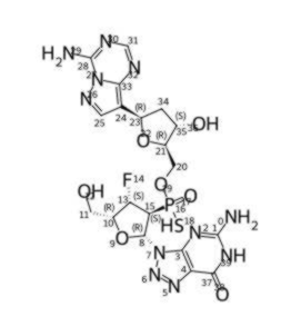 Nc1nc2c(nnn2[C@@H]2O[C@H](CO)[C@H](F)[C@H]2P(=O)(S)OC[C@H]2O[C@@H](c3cnn4c(N)ncnc34)C[C@@H]2O)c(=O)[nH]1